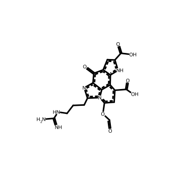 N=C(N)NCCCc1nc2c(=O)c3cc(C(=O)O)[nH]c3c3c(C(=O)O)cc(OC=O)n1c23